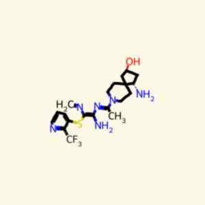 C=N/C(Sc1cccnc1C(F)(F)F)=C(N)\N=C(/C)N1CCC2(CC1)C[C@@H](O)C[C@@H]2N